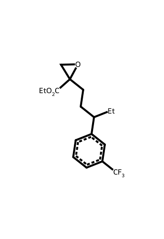 CCOC(=O)C1(CCC(CC)c2cccc(C(F)(F)F)c2)CO1